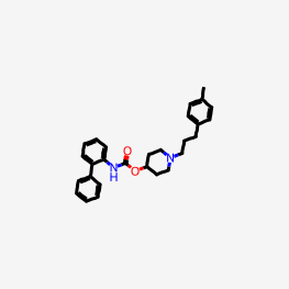 Cc1ccc(CCCN2CCC(OC(=O)Nc3ccccc3-c3ccccc3)CC2)cc1